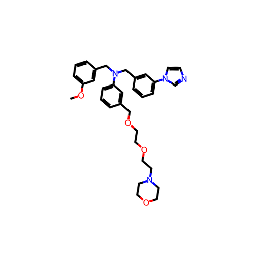 COc1cccc(CN(Cc2cccc(-n3ccnc3)c2)c2cccc(COCCOCCN3CCOCC3)c2)c1